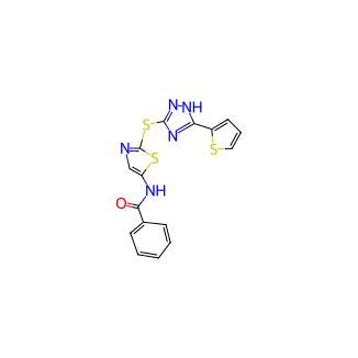 O=C(Nc1cnc(Sc2n[nH]c(-c3cccs3)n2)s1)c1ccccc1